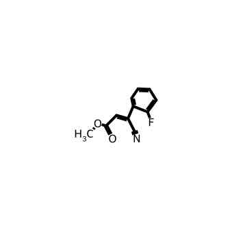 COC(=O)C=C(C#N)c1ccccc1F